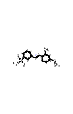 COc1ccc(/C=C/c2cccc(S(N)(=O)=O)c2)c(C)c1